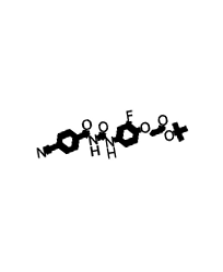 CC(C)(C)OC(=O)COc1ccc(NC(=O)NC(=O)c2ccc(C#N)cc2)cc1F